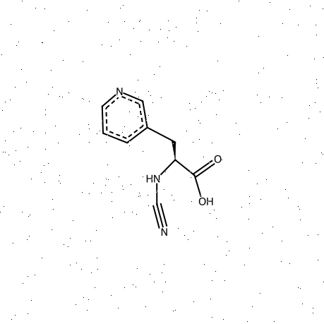 N#CN[C@@H](Cc1cccnc1)C(=O)O